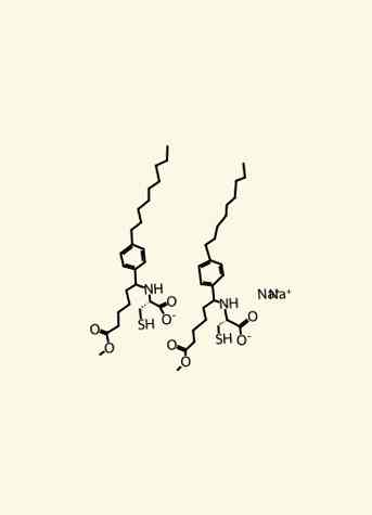 CCCCCCCCCc1ccc(C(CCCCC(=O)OC)N[C@@H](CS)C(=O)[O-])cc1.CCCCCCCCCc1ccc(C(CCCCC(=O)OC)N[C@@H](CS)C(=O)[O-])cc1.[Na+].[Na+]